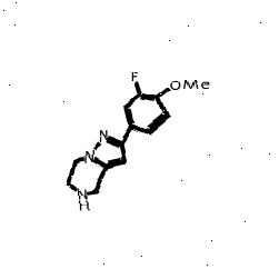 COc1ccc(-c2cc3n(n2)CCNC3)cc1F